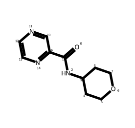 O=C(NC1CCOCC1)c1cnccn1